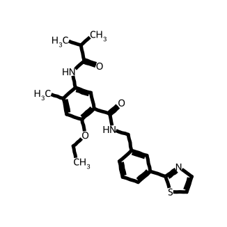 CCOc1cc(C)c(NC(=O)C(C)C)cc1C(=O)NCc1cccc(-c2nccs2)c1